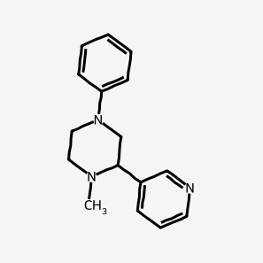 CN1CCN(c2ccccc2)CC1c1cccnc1